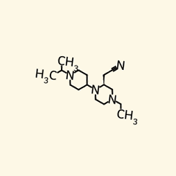 CCN1CCN(C2CCN(C(C)C)CC2)[C@@H](CC#N)C1